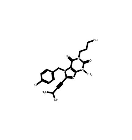 CC(O)C#Cc1nc2c(c(=O)n(CCCO)c(=O)n2C)n1Cc1ccc(Cl)cc1